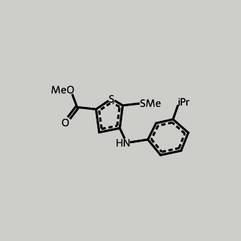 COC(=O)c1cc(Nc2cccc(C(C)C)c2)c(SC)s1